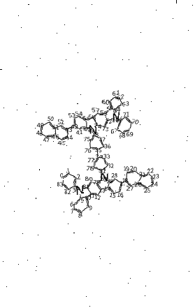 c1ccc(-n2c3ccccc3c3cc4c5ccc(-c6ccc7ccccc7c6)cc5n(-c5ccc(-c6ccc(-n7c8cc(-c9ccc%10ccccc%10c9)ccc8c8cc9c%10ccccc%10n(-c%10ccccc%10)c9cc87)cc6)cc5)c4cc32)cc1